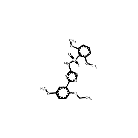 CCOc1ccc(OC)cc1-c1nc(NS(=O)(=O)c2c(OC)cccc2OC)no1